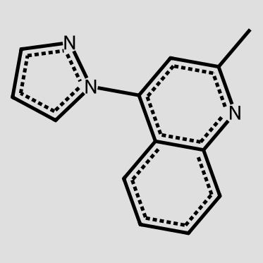 Cc1cc(-n2cccn2)c2ccccc2n1